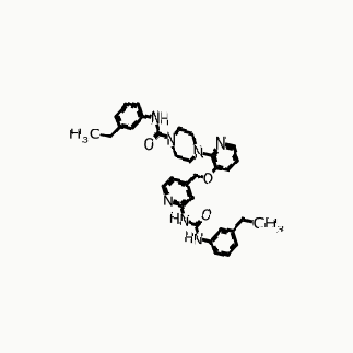 CCc1cccc(NC(=O)Nc2cc(COc3cccnc3N3CCN(C(=O)Nc4cccc(CC)c4)CC3)ccn2)c1